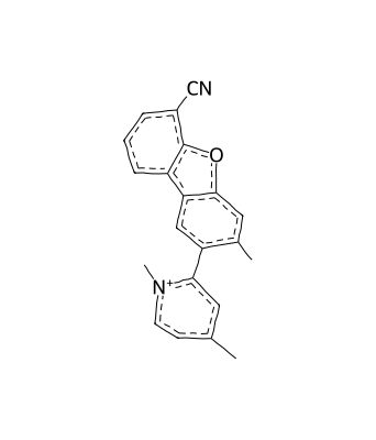 Cc1cc[n+](C)c(-c2cc3c(cc2C)oc2c(C#N)cccc23)c1